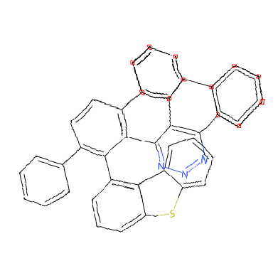 c1ccc(-c2ccccc2-c2c(-c3ccccc3)nnnc2-c2c(-c3ccccc3)ccc(-c3ccccc3)c2-c2cccc3sc4ccccc4c23)cc1